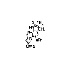 CCCN1C=C(C)C(NS(C)(=O)=O)C2=C1N1CN(OC)C=C1C=N2